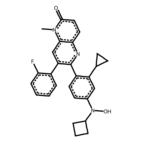 Cn1c(=O)ccc2nc(-c3ccc(N(O)C4CCC4)cc3C3CC3)c(-c3ccccc3F)cc21